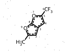 Cc1cc2cc(C(F)(F)F)oc2o1